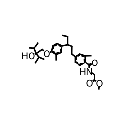 CCC(CCc1ccc(C(=O)NCC(=O)OC)c(C)c1)c1ccc(OCC(O)(C(C)C)C(C)C)c(C)c1